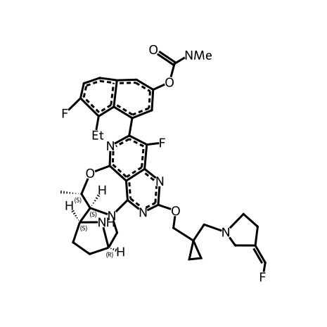 CCc1c(F)ccc2cc(OC(=O)NC)cc(-c3nc4c5c(nc(OCC6(CN7CCC(=CF)C7)CC6)nc5c3F)N3C[C@H]5CC[C@H](N5)[C@H]3[C@H](C)O4)c12